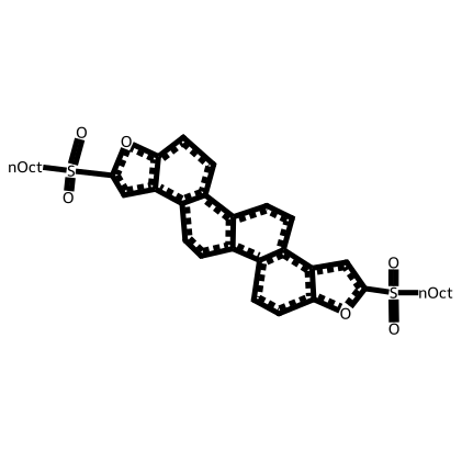 CCCCCCCCS(=O)(=O)c1cc2c(ccc3c2ccc2c4ccc5oc(S(=O)(=O)CCCCCCCC)cc5c4ccc32)o1